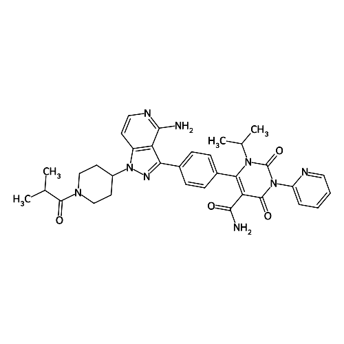 CC(C)C(=O)N1CCC(n2nc(-c3ccc(-c4c(C(N)=O)c(=O)n(-c5ccccn5)c(=O)n4C(C)C)cc3)c3c(N)nccc32)CC1